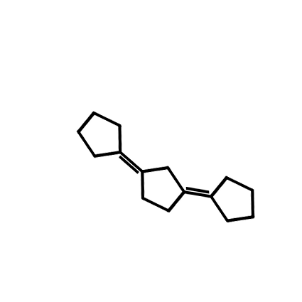 C1CCC(=C2CCC(=C3CCCC3)C2)C1